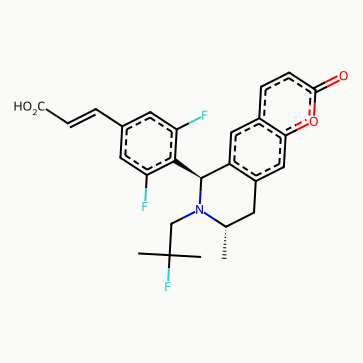 C[C@H]1Cc2cc3oc(=O)ccc3cc2[C@H](c2c(F)cc(/C=C/C(=O)O)cc2F)N1CC(C)(C)F